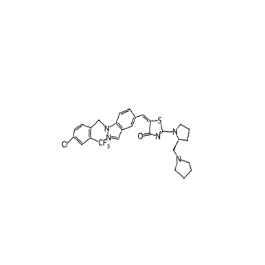 O=C1N=C(N2CCC[C@H]2CN2CCCC2)SC1=Cc1ccc2c(cnn2Cc2ccc(Cl)cc2C(F)(F)F)c1